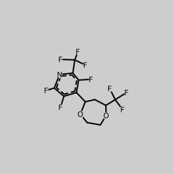 Fc1nc(C(F)(F)F)c(F)c(C2CC(C(F)(F)F)OCCO2)c1F